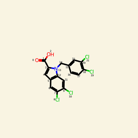 O=C(O)c1cc2cc(Cl)c(Cl)cc2n1Cc1ccc(Cl)c(Cl)c1